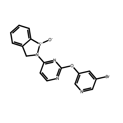 [O-][S+]1c2ccccc2CN1c1ccnc(Oc2cncc(Br)c2)n1